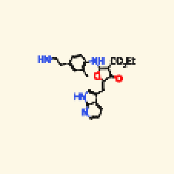 CCOC(=O)C1=C(Nc2ccc(CC=N)cc2C)O/C(=C\c2c[nH]c3ncccc23)C1=O